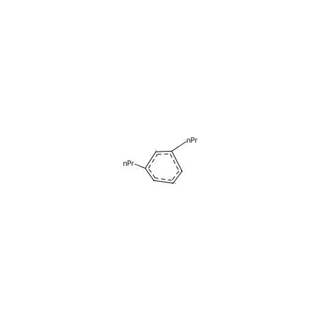 CCCc1[c]c(CCC)c[c]c1